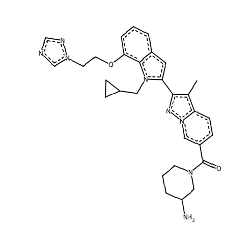 Cc1c(-c2cc3cccc(OCCn4cncn4)c3n2CC2CC2)nn2cc(C(=O)N3CCCC(N)C3)ccc12